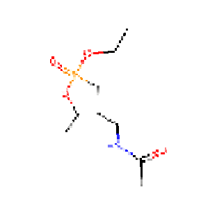 CCOP(=O)(CCCNC(C)=O)OCC